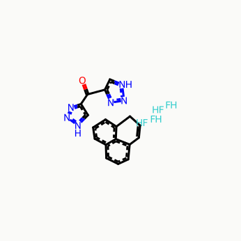 C1=Cc2cccc3cccc(c23)C1.F.F.F.F.O=C(c1c[nH]nn1)c1c[nH]nn1